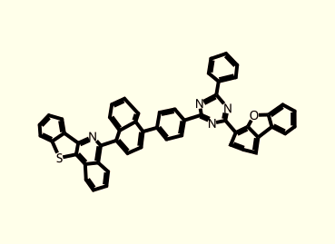 c1ccc(-c2nc(-c3ccc(-c4ccc(-c5nc6c7ccccc7sc6c6ccccc56)c5ccccc45)cc3)nc(-c3cccc4c3oc3ccccc34)n2)cc1